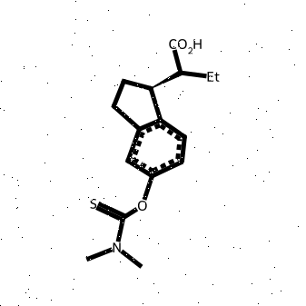 CCC(C(=O)O)[C@@H]1CCc2cc(OC(=S)N(C)C)ccc21